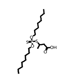 CCCCCCCCOP(=S)(OCCCCCCCC)SC(C)CC(=O)O